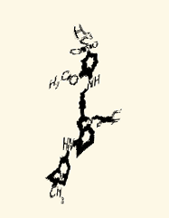 COc1cc(S(C)(=O)=O)ccc1NCC#Cc1cc2c(NC3CC4CC5(C)CC(C3)N45)cccc2n1CC(F)(F)F